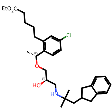 CCOC(=O)CCCCc1cc(Cl)ccc1[C@@H](C)OC[C@H](O)CNC(C)(C)CC1Cc2ccccc2C1